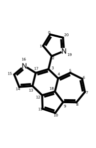 C1=CC(c2c3ccccc4ccc(c5ccnc25)c43)N=C1